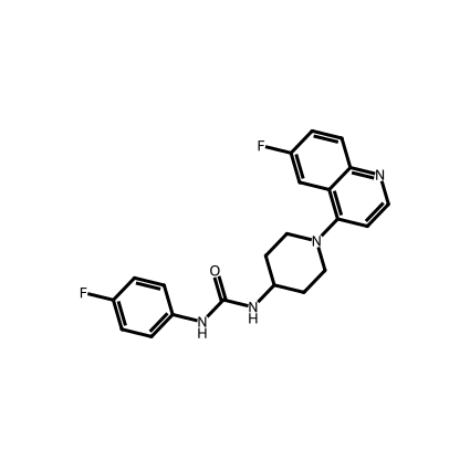 O=C(Nc1ccc(F)cc1)NC1CCN(c2ccnc3ccc(F)cc23)CC1